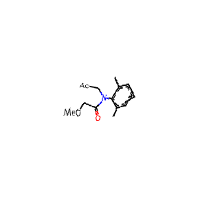 COCC(=O)N(CC(C)=O)c1c(C)cccc1C